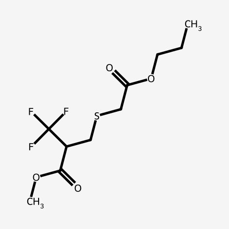 CCCOC(=O)CSCC(C(=O)OC)C(F)(F)F